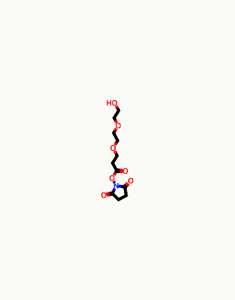 O=C(CCOCCOCCO)ON1C(=O)CCC1=O